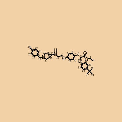 CCOC(=O)[C@@H](Cc1ccc(OCCNC2C3CN(Cc4ccc(I)cc4)CC32)cc1)Oc1ccc(C(C)(C)C)cc1